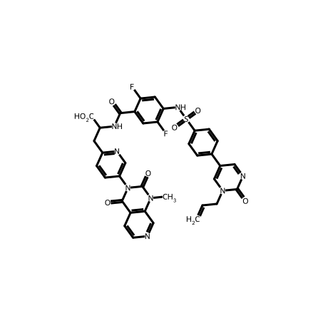 C=CCn1cc(-c2ccc(S(=O)(=O)Nc3cc(F)c(C(=O)NC(Cc4ccc(-n5c(=O)c6ccncc6n(C)c5=O)cn4)C(=O)O)cc3F)cc2)cnc1=O